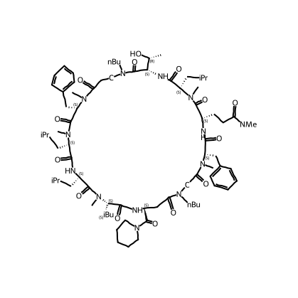 CCCCN1CC(=O)N(C)[C@@H](Cc2ccccc2)C(=O)N[C@@H](CCC(=O)NC)C(=O)N(C)[C@@H](CC(C)C)C(=O)N[C@@H]([C@@H](C)O)C(=O)N(CCCC)CCC(=O)N(C)[C@@H](Cc2ccccc2)C(=O)N(C)[C@@H](CC(C)C)C(=O)N[C@@H](CC(C)C)C(=O)N(C)[C@@H]([C@@H](C)CC)C(=O)N[C@H](C(=O)N2CCCCC2)CC1=O